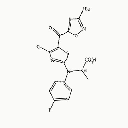 C[C@@H](C(=O)O)N(c1ccc(F)cc1)c1nc(Cl)c(C(=O)c2nc(C(C)(C)C)no2)s1